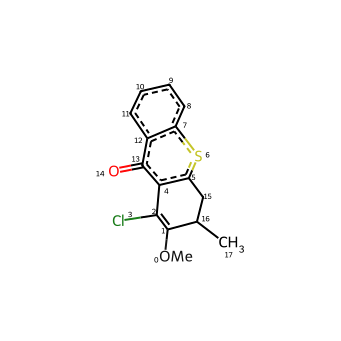 COC1=C(Cl)c2c(sc3ccccc3c2=O)CC1C